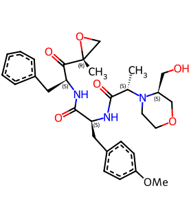 COc1ccc(C[C@H](NC(=O)[C@H](C)N2CCOC[C@@H]2CO)C(=O)N[C@@H](Cc2ccccc2)C(=O)[C@@]2(C)CO2)cc1